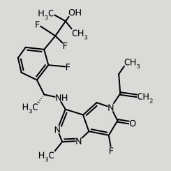 C=C(CC)n1cc2c(N[C@H](C)c3cccc(C(F)(F)C(C)(C)O)c3F)nc(C)nc2c(F)c1=O